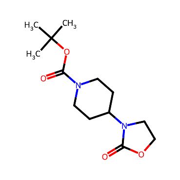 CC(C)(C)OC(=O)N1CCC(N2CCOC2=O)CC1